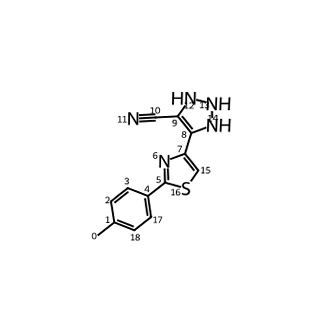 Cc1ccc(-c2nc(C3=C(C#N)NNN3)cs2)cc1